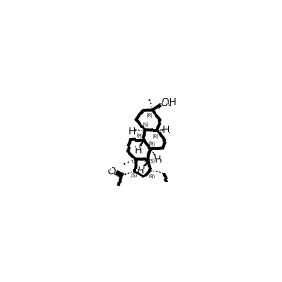 CC[C@@H]1C[C@H](C(C)=O)[C@@]2(C)CC[C@H]3[C@@H](CC[C@@H]4C[C@](C)(O)CC[C@@H]43)[C@H]12